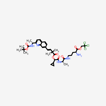 C[C@H](NC(=O)C(OC(=O)C(C)(C)/C=C/c1ccc2ccc([C@@H](C)NC(=O)OC(C)(C)C)nc2c1)C1CC1)C(=O)NCCC[C@H](N)C(=O)OCC(Cl)(Cl)Cl